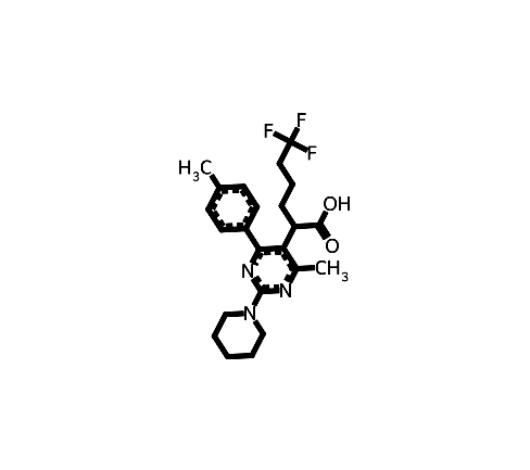 Cc1ccc(-c2nc(N3CCCCC3)nc(C)c2C(CCCC(F)(F)F)C(=O)O)cc1